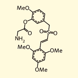 COc1cc(OC)c(C=CS(=O)(=O)Cc2ccc(OC)c(OC(=O)CN)c2)c(OC)c1